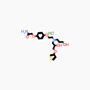 Cl.NC(=O)COc1ccc(OCCN(CCCO)CC(O)COc2ccsc2)cc1